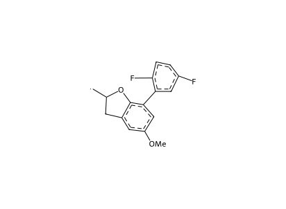 [CH2]C1Cc2cc(OC)cc(-c3cc(F)ccc3F)c2O1